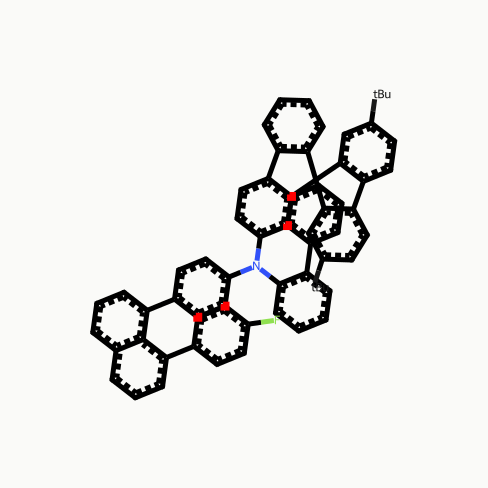 CC(C)(C)c1ccc2c(c1)C1(c3ccccc3-c3ccc(N(c4ccc(-c5cccc6cccc(-c7ccc(F)cc7)c56)cc4)c4ccccc4-c4ccccc4)cc31)c1cc(C(C)(C)C)ccc1-2